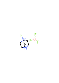 FB(F)F.F[N+]12CCN(CC1)CC2